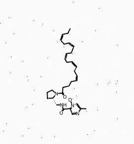 CC/C=C\C/C=C\C/C=C\C/C=C\C/C=C\CCCC(=O)N1CCC[C@H]1CNC(=O)c1cnc(C)c[n+]1[O-]